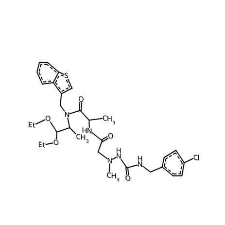 CCOC(OCC)C(C)N(Cc1csc2ccccc12)C(=O)C(C)NC(=O)CN(C)NC(=O)NCc1ccc(Cl)cc1